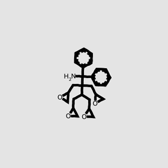 NC(c1ccccc1)(c1ccccc1)C(CC1CO1)(CC1CO1)C(CC1CO1)CC1CO1